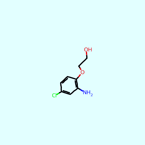 Nc1cc(Cl)ccc1OCCO